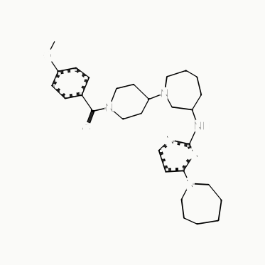 COc1ccc(C(=O)N2CCC(N3CCCCC(Nc4nccc(N5CCCCCC5)n4)C3)CC2)cc1